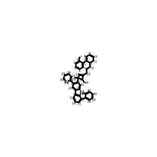 Cc1ccccc1C1=CC=CCC1CCCC1=CC(C)(c2cc3c(cc2-c2ccccn2)c2cccc4c5ccccc5n3c42)C1C